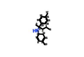 CCCC(C)(NC1C=CC(C)=CC1)c1ccc(C)cc1